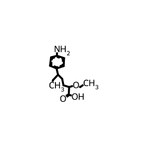 CCOC(CCC(CC)c1ccc(N)cc1)C(=O)O